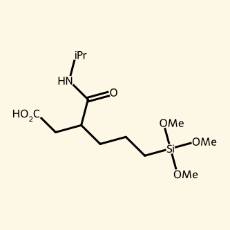 CO[Si](CCCC(CC(=O)O)C(=O)NC(C)C)(OC)OC